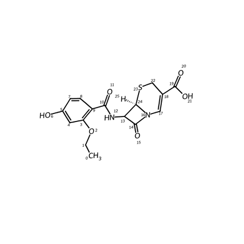 CCOc1cc(O)ccc1C(=O)NC1C(=O)N2C=C(C(=O)O)CS[C@H]12